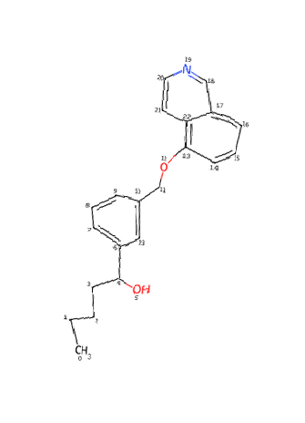 CCCCC(O)c1cccc(COc2cccc3cnccc23)c1